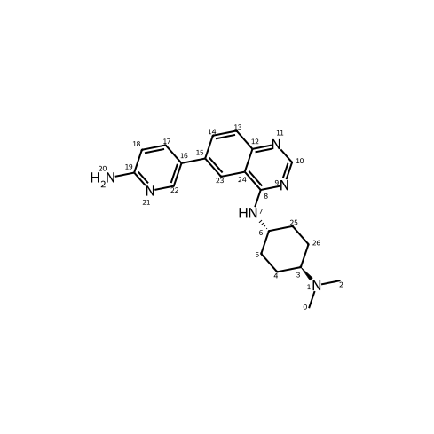 CN(C)[C@H]1CC[C@H](Nc2ncnc3ccc(-c4ccc(N)nc4)cc23)CC1